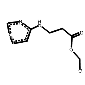 O=C(CCNc1ccccn1)OCCl